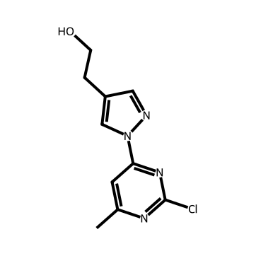 Cc1cc(-n2cc(CCO)cn2)nc(Cl)n1